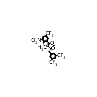 C[C@@H]1[C@@H](c2cc(C(F)(F)F)cc([N+](=O)[O-])c2I)OCON1Cc1cc(C(F)(F)F)cc(C(F)(F)F)c1